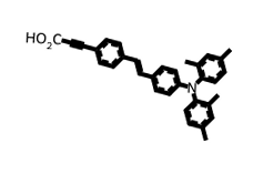 Cc1ccc(N(c2ccc(C=Cc3ccc(C#CC(=O)O)cc3)cc2)c2ccc(C)cc2C)c(C)c1